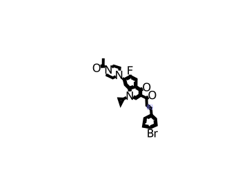 CC(=O)N1CCN(c2cc3c(cc2F)c(=O)c(C(=O)/C=C/c2ccc(Br)cc2)cn3C2CC2)CC1